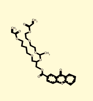 C=CC(=O)OCCCCOCC(COC(=O)c1ccc2sc3ccccc3c(=O)c2c1)OC(C)OCCOCCOC(=O)C=C